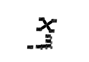 Cl.N.N.N.N.N.O[Si](O)(O)O